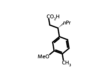 CCC[C@@H](CC(=O)O)c1ccc(C)c(OC)c1